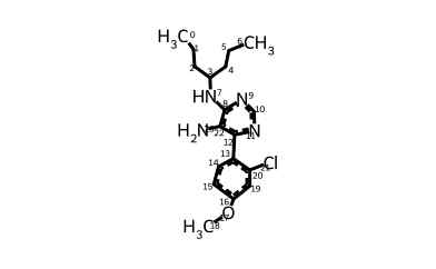 CCCC(CCC)Nc1ncnc(-c2ccc(OC)cc2Cl)c1N